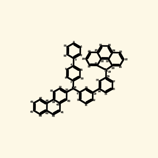 c1ccc(-c2ccc(N(c3cccc(-c4cccc(-n5c6cccc7ccc8cccc5c8c76)c4)c3)c3ccc4c(ccc5ccccc54)c3)cc2)cc1